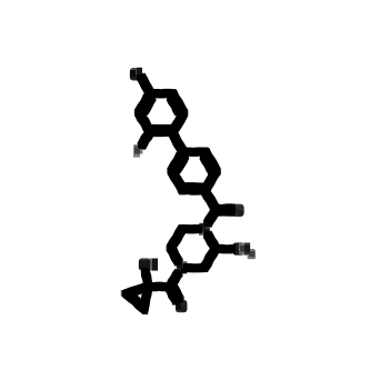 CC1CN(C(=O)C2(O)CC2)CCN1C(=O)c1ccc(-c2ccc(Cl)cc2F)cc1